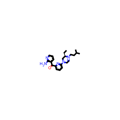 CC[C@H](CN(CC)c1cccc(C(=O)c2cccnc2N)n1)NCCC(C)C